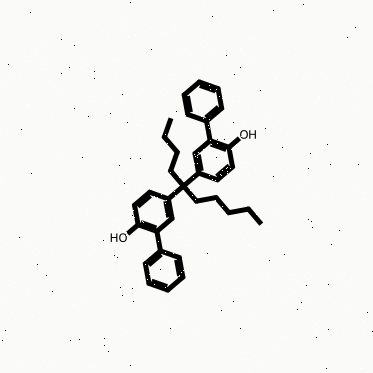 CCCCCC(CCCC)(c1ccc(O)c(-c2ccccc2)c1)c1ccc(O)c(-c2ccccc2)c1